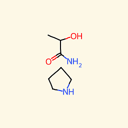 C1CCNC1.CC(O)C(N)=O